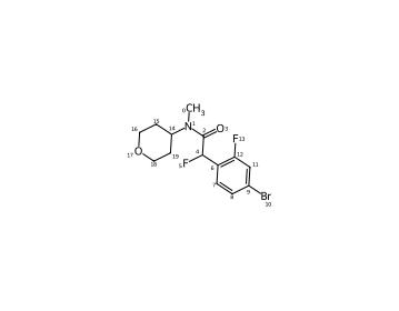 CN(C(=O)C(F)c1ccc(Br)cc1F)C1CCOCC1